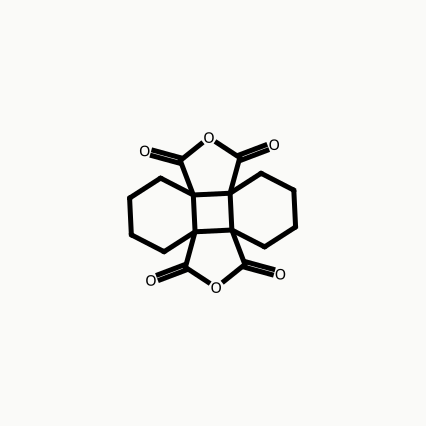 O=C1OC(=O)C23CCCCC24C(=O)OC(=O)C42CCCCC123